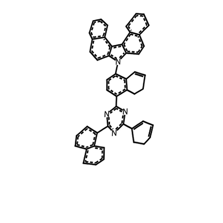 C1=CCCC(c2nc(-c3ccc(-n4c5ccc6ccccc6c5c5c6ccccc6ccc54)c4c3CCC=C4)nc(-c3cccc4ccccc34)n2)=C1